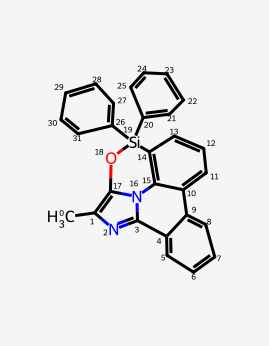 Cc1nc2c3ccccc3c3cccc4c3n2c1O[Si]4(c1ccccc1)c1ccccc1